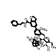 COc1c(CN2O[C@@H](CO)[C@H]([C@H](C)O)[C@H]2C(=O)N[C@H]2C[C@H]3C[C@@H]([C@@H]2C)C3(C)C)cccc1-c1cc2c(c(C(=O)NCCc3ccccc3)c1)OCC2